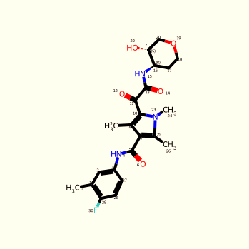 Cc1cc(NC(=O)c2c(C)c(C(=O)C(=O)N[C@@H]3CCOC[C@H]3O)n(C)c2C)ccc1F